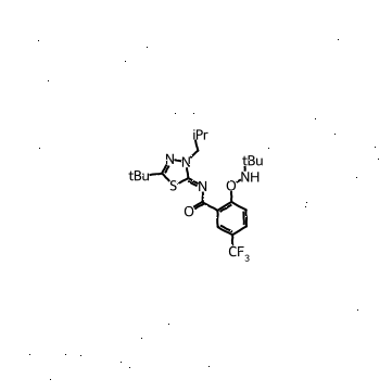 CC(C)Cn1nc(C(C)(C)C)sc1=NC(=O)c1cc(C(F)(F)F)ccc1ONC(C)(C)C